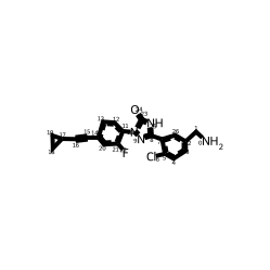 NCc1ccc(Cl)c(-c2nn(-c3ccc(C#CC4CC4)cc3F)c(=O)[nH]2)c1